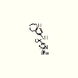 CC(C)(C)c1ncc(C(=O)Nc2ccc3c(c2)CCCCN3)s1